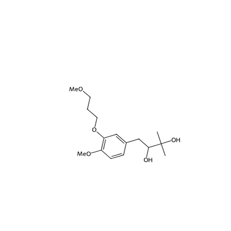 COCCCOc1cc(CC(O)C(C)(C)O)ccc1OC